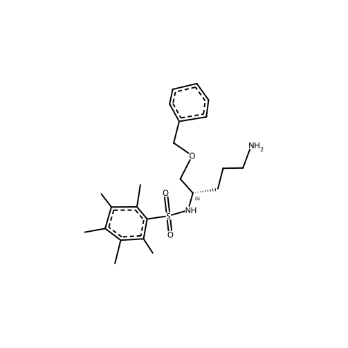 Cc1c(C)c(C)c(S(=O)(=O)N[C@@H](CCCN)COCc2ccccc2)c(C)c1C